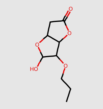 CCCOC1C(O)OC2CC(=O)OC21